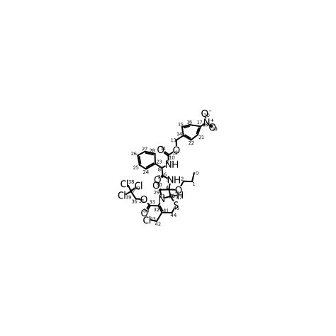 CCCOC1(NC(=O)C(NC(=O)OCc2ccc([N+](=O)[O-])cc2)c2ccccc2)C(=O)N2C(C(=O)OCC(Cl)(Cl)Cl)=C(CCl)CS[C@H]21